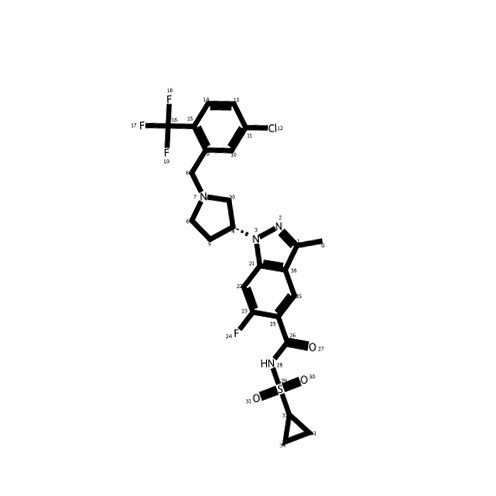 Cc1nn([C@@H]2CCN(Cc3cc(Cl)ccc3C(F)(F)F)C2)c2cc(F)c(C(=O)NS(=O)(=O)C3CC3)cc12